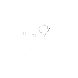 CN(CCCO)c1ccnc(CCl)c1Cl